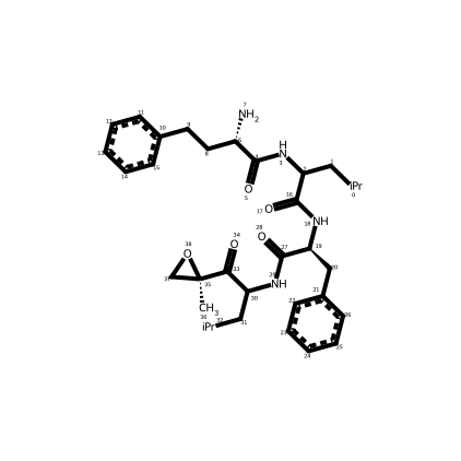 CC(C)CC(NC(=O)[C@@H](N)CCc1ccccc1)C(=O)N[C@@H](Cc1ccccc1)C(=O)NC(CC(C)C)C(=O)[C@@]1(C)CO1